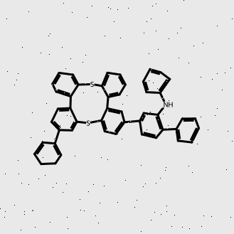 C1=CC(c2ccc3c(c2)Sc2ccc(-c4ccc(-c5ccccc5)c(Nc5ccccc5)c4)cc2-c2ccccc2Sc2ccccc2-3)=CCC1